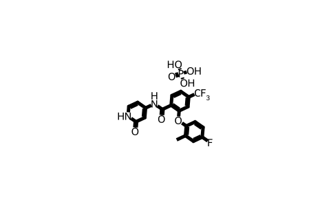 Cc1cc(F)ccc1Oc1cc(C(F)(F)F)ccc1C(=O)Nc1cc[nH]c(=O)c1.O=P(O)(O)O